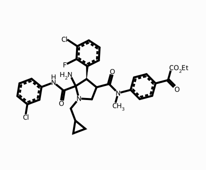 CCOC(=O)C(=O)c1ccc(N(C)C(=O)C2CN(CC3CC3)C(N)(C(=O)Nc3cccc(Cl)c3)[C@H]2c2cccc(Cl)c2F)cc1